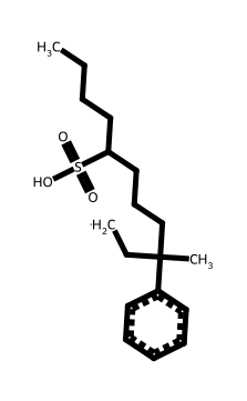 [CH2]CC(C)(CCCC(CCCC)S(=O)(=O)O)c1ccccc1